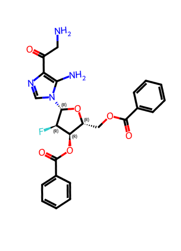 NCC(=O)c1ncn([C@@H]2O[C@H](COC(=O)c3ccccc3)[C@@H](OC(=O)c3ccccc3)[C@H]2F)c1N